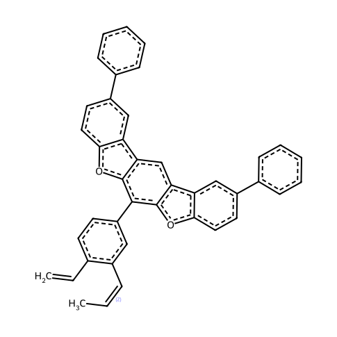 C=Cc1ccc(-c2c3oc4ccc(-c5ccccc5)cc4c3cc3c2oc2ccc(-c4ccccc4)cc23)cc1/C=C\C